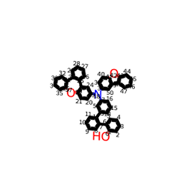 Oc1ccccc1-c1ccccc1-c1cccc(N(c2ccc3c(c2)-c2ccccc2-c2ccccc2O3)c2ccc3oc4ccccc4c3c2)c1